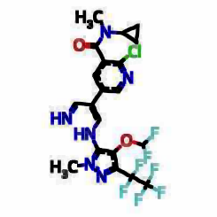 CN(C(=O)c1cc(/C(C=N)=C/Nc2c(OC(F)F)c(C(F)(F)C(F)(F)F)nn2C)cnc1Cl)C1CC1